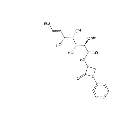 CO[C@@H](C(=O)NC1CN(c2ccccc2)C1=O)[C@H](O)[C@@H](O)[C@H](O)/C=C/C(C)(C)C